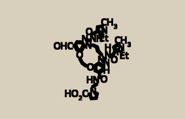 CCn1nc(C)cc1C(=O)Nc1nc2cc(C=O)cc3c2n1C/C=C/CN1c2c(cc(C(=O)NCCN4CCCC4C(=O)O)cc2OCCCO3)NC1NC(=O)c1cc(C)nn1CC